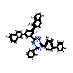 C1=CCCC(c2nc(-c3ccc(-c4ccccc4)cc3)nc(-c3cc(-c4ccc5ccccc5c4)cc(-c4ccc5ccccc5c4)c3)n2)=C1